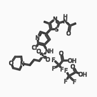 CC(=O)Nc1nc(C)c(-c2cnc(Cl)c(NS(=O)(=O)CCCN3CCOCC3)c2)s1.O=C(O)C(F)(F)F.O=C(O)C(F)(F)F